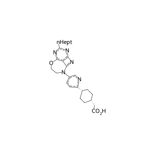 CCCCCCCc1nc2c3c(n1)OCCN(c1ccc([C@H]4CC[C@@H](CC(=O)O)CC4)nc1)C3=N2